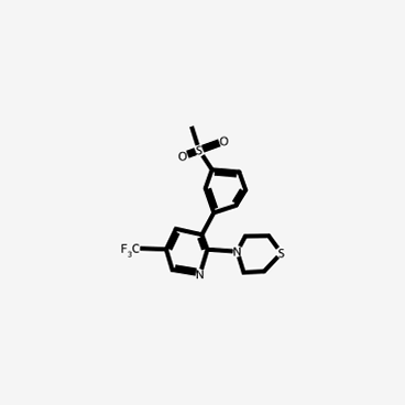 CS(=O)(=O)c1cccc(-c2cc(C(F)(F)F)cnc2N2CCSCC2)c1